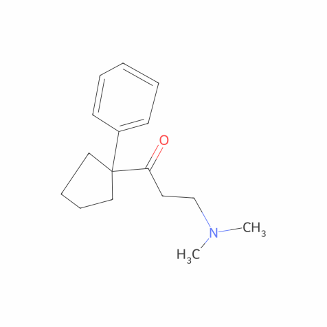 CN(C)CCC(=O)C1(c2ccccc2)CCCC1